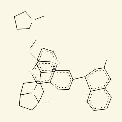 CN1CCC[C@H]1COc1nc(N2[C@@H]3CC[C@H]2CN(c2cnccn2)C3)c2ccc(-c3cc(O)cc4ccccc34)cc2n1